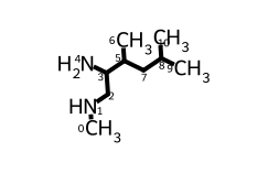 CNCC(N)C(C)CC(C)C